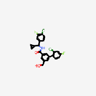 O=C(NC(c1ccc(Cl)c(F)c1)C1CC1)c1cc(CO)cc(-c2ccc(F)cc2Cl)c1